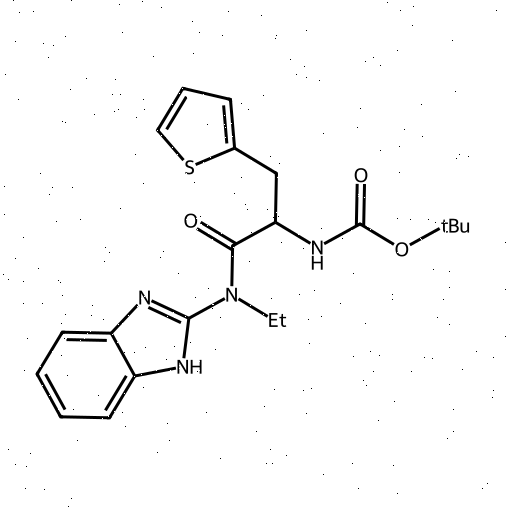 CCN(C(=O)C(Cc1cccs1)NC(=O)OC(C)(C)C)c1nc2ccccc2[nH]1